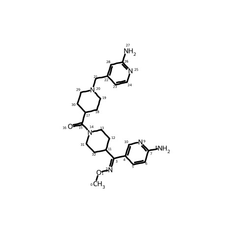 CON=C(c1ccc(N)nc1)C1CCN(C(=O)C2CCN(Cc3ccnc(N)c3)CC2)CC1